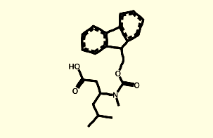 CC(C)CC(CC(=O)O)N(C)C(=O)OCC1c2ccccc2-c2ccccc21